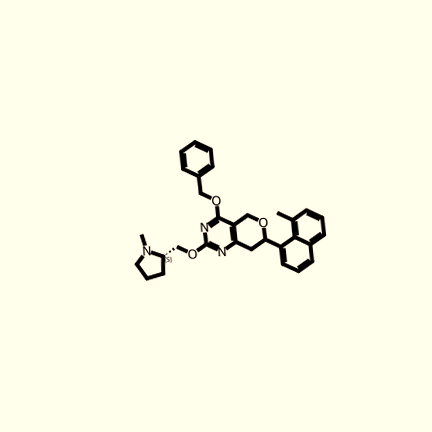 Cc1cccc2cccc(C3Cc4nc(OC[C@@H]5CCCN5C)nc(OCc5ccccc5)c4CO3)c12